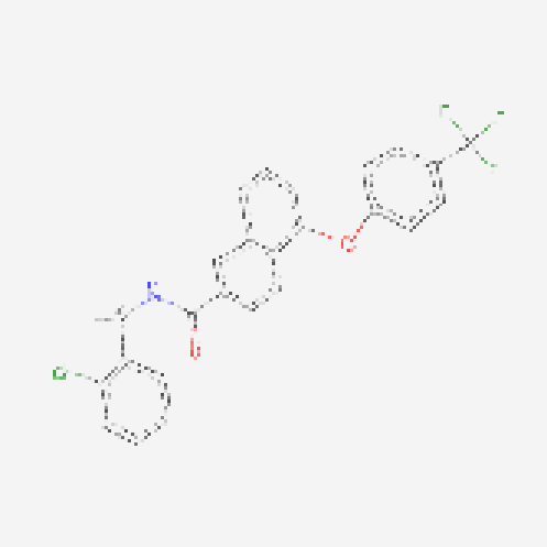 C[C@H](NC(=O)c1ccc2c(Oc3ccc(C(F)(F)F)cc3)cccc2c1)c1ccccc1Cl